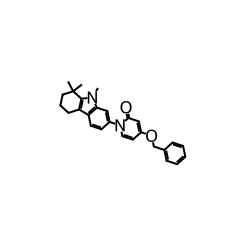 Cn1c2c(c3ccc(-n4ccc(OCc5ccccc5)cc4=O)cc31)CCCC2(C)C